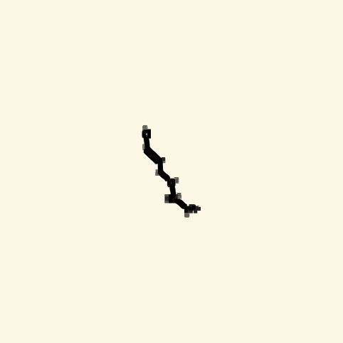 CC[CH]NOCC=CCl